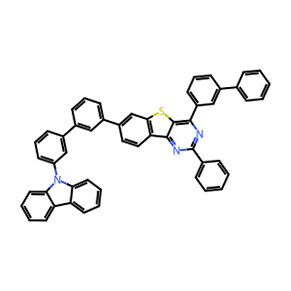 c1ccc(-c2cccc(-c3nc(-c4ccccc4)nc4c3sc3cc(-c5cccc(-c6cccc(-n7c8ccccc8c8ccccc87)c6)c5)ccc34)c2)cc1